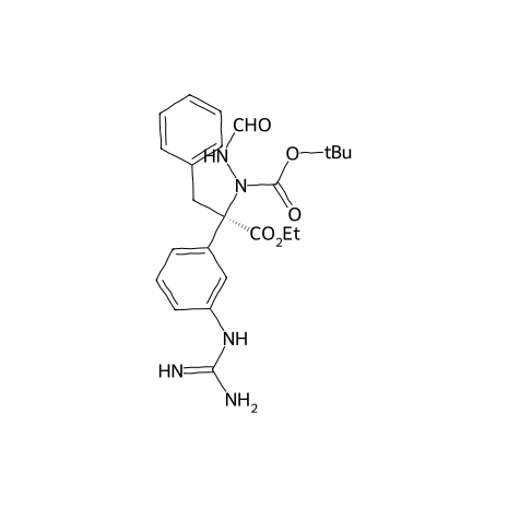 CCOC(=O)[C@@](Cc1ccccc1)(c1cccc(NC(=N)N)c1)N(NC=O)C(=O)OC(C)(C)C